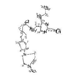 CCN1CCN(c2ccc(CC(C)(C)C(=O)NCc3cnc(C#N)nc3NCC(C)(C)C)cc2)CC1